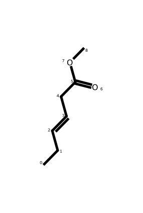 CC/C=C/CC(=O)OC